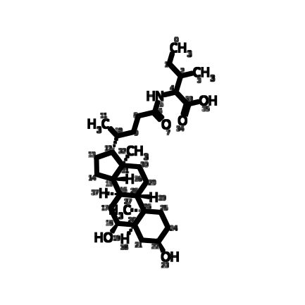 CCC(C)C(NC(=O)CCC(C)[C@H]1CC[C@H]2[C@@H]3C[C@H](O)[C@@H]4C[C@H](O)CC[C@]4(C)[C@H]3CC[C@]12C)C(=O)O